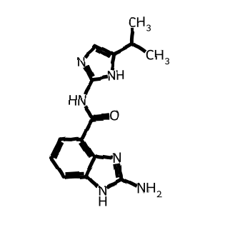 CC(C)c1cnc(NC(=O)c2cccc3[nH]c(N)nc23)[nH]1